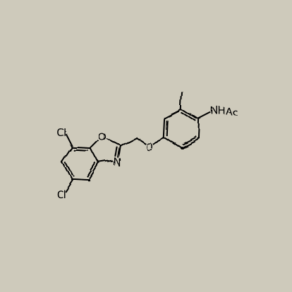 CC(=O)Nc1ccc(OCc2nc3cc(Cl)cc(Cl)c3o2)cc1C